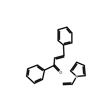 C=Cn1cccc1.O=C(C=Cc1ccccc1)c1ccccc1